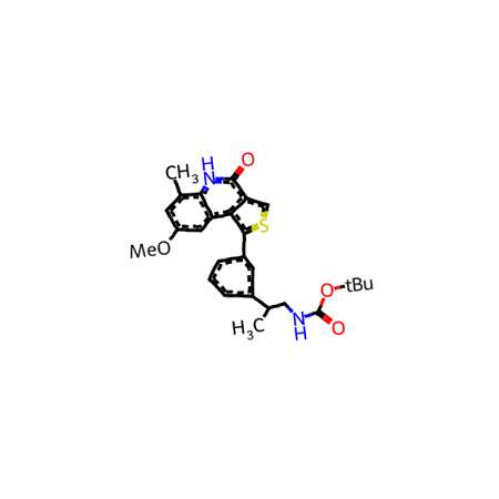 COc1cc(C)c2[nH]c(=O)c3csc(-c4cccc(C(C)CNC(=O)OC(C)(C)C)c4)c3c2c1